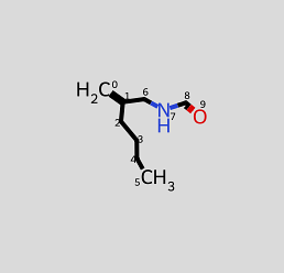 C=C(CCCC)CNC=O